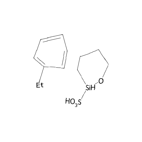 CCc1ccccc1.O=S(=O)(O)[SiH]1CCCCO1